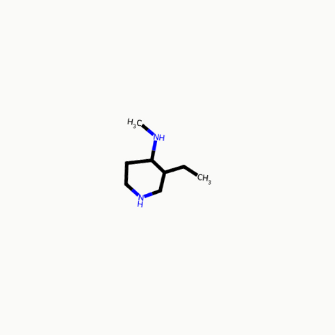 CCC1CNCCC1NC